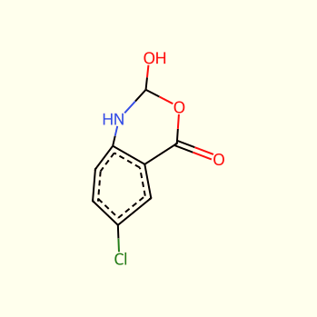 O=C1OC(O)Nc2ccc(Cl)cc21